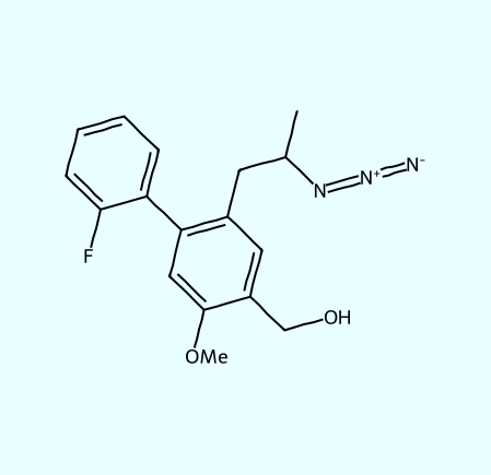 COc1cc(-c2ccccc2F)c(CC(C)N=[N+]=[N-])cc1CO